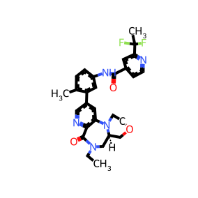 CCN1C[C@@H]2COCCN2c2cc(-c3cc(NC(=O)c4ccnc(C(C)(F)F)c4)ccc3C)cnc2C1=O